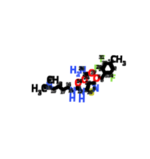 Cc1cc(F)c(COc2nsc(NC(=O)NCCCCN(C)C)c2OC(N)=O)c(F)c1F